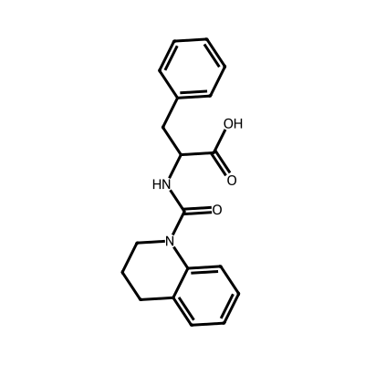 O=C(O)C(Cc1ccccc1)NC(=O)N1CCCc2ccccc21